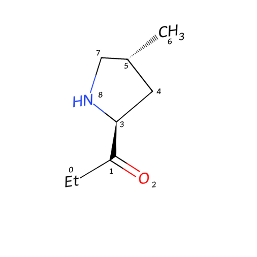 CCC(=O)[C@@H]1C[C@@H](C)CN1